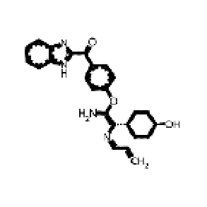 C=C/C=N\C(=C(/N)Oc1ccc(C(=O)c2nc3ccccc3[nH]2)cc1)[C@H]1CC[C@H](O)CC1